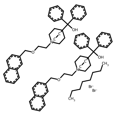 CCCCCCCC.OC(c1ccccc1)(c1ccccc1)C12CC[N+](CCOCc3ccc4ccccc4c3)(CC1)CC2.OC(c1ccccc1)(c1ccccc1)C12CC[N+](CCOCc3ccc4ccccc4c3)(CC1)CC2.[Br-].[Br-]